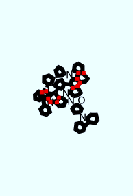 c1ccc(-c2cc3c4c(c2)N(c2c(-c5cccc6c7ccccc7n(-c7ccccc7)c56)cccc2-c2cccc5c6ccccc6n(-c6ccccc6)c25)c2cc(-n5c6ccccc6c6ccccc65)ccc2N4c2ccc(-n4c5ccccc5c5ccccc54)cc2O3)cc1